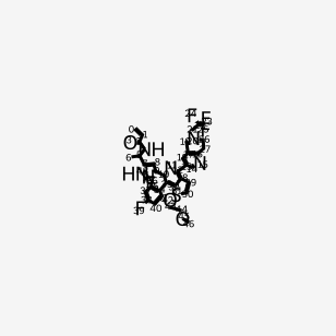 C=CC(=O)NC(C)c1cc(-c2nc(-c3cnc4c(c3)CN(CC(F)(F)F)CC4)c3ccsc3c2-c2c(F)cc(F)cc2OCCOC)n[nH]1